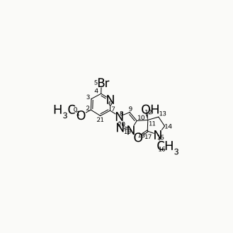 COc1cc(Br)nc(-n2cc([C@]3(O)CCN(C)C3=O)nn2)c1